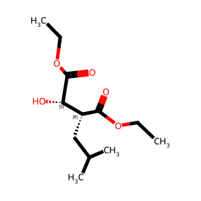 CCOC(=O)[C@@H](O)[C@@H](CC(C)C)C(=O)OCC